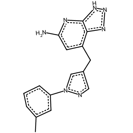 Cc1cccc(-n2cc(Cc3cc(N)nc4[nH]nnc34)cn2)c1